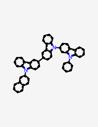 c1ccc(-n2c3ccccc3c3ccc(-n4c5ccccc5c5cc(-c6ccc7c(c6)c6ccccc6n7-c6ccc7ccccc7c6)ccc54)cc32)cc1